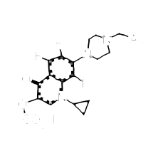 CC(=O)CN1CCN(c2c(F)c(F)c3c(=O)c(OC(=O)O)cn(C4CC4)c3c2F)CC1